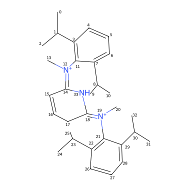 CC(C)c1cccc(C(C)C)c1[N+](C)=C1C=CCC(=[N+](C)c2c(C(C)C)cccc2C(C)C)N1